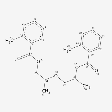 Cc1ccccc1C(=O)OCC(C)OCC(C)OC(=O)c1ccccc1C